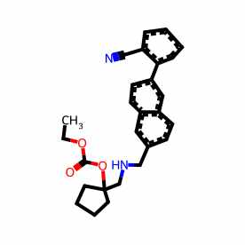 CCOC(=O)OC1(CNCc2ccc3cc(-c4ccccc4C#N)ccc3c2)CCCC1